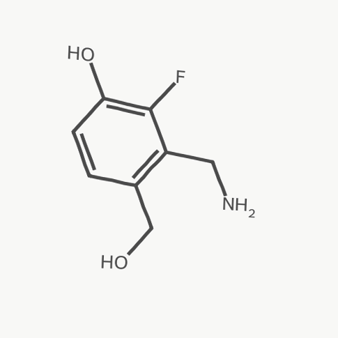 NCc1c(CO)ccc(O)c1F